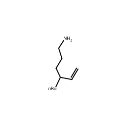 C=CC(CCCC)CCCN